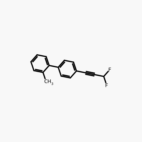 Cc1ccccc1-c1ccc(C#CC(F)F)cc1